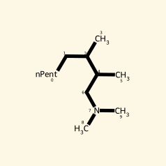 CCCCCCC(C)C(C)CN(C)C